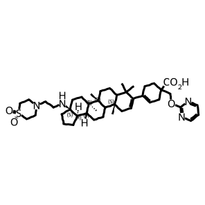 CC1(C)C(C2=CCC(COc3ncccn3)(C(=O)O)CC2)=CC[C@@]2(C)C1CC[C@]1(C)C2CC[C@@H]2[C@H]3CCC[C@]3(NCCN3CCS(=O)(=O)CC3)CC[C@]21C